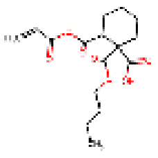 C=CC(=O)OC(=O)C1CCCCC1(C(=O)O)C(=O)OCCCC